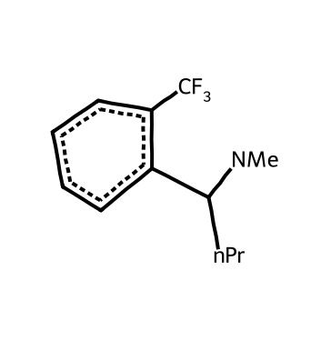 CCCC(NC)c1ccccc1C(F)(F)F